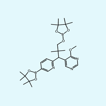 COc1ncncc1C(c1ccc(B2OC(C)(C)C(C)(C)O2)cn1)C(C)(C)COB1OC(C)(C)C(C)(C)O1